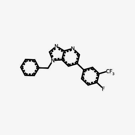 Fc1ccc(-c2cnc3ncn(Cc4ccccc4)c3c2)cc1C(F)(F)F